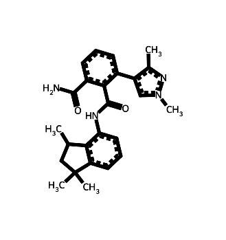 Cc1nn(C)cc1-c1cccc(C(N)=O)c1C(=O)Nc1cccc2c1C(C)CC2(C)C